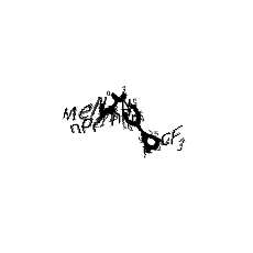 C=C(C(=C)N1CCC(c2cc(F)cc(C(F)(F)F)c2)CC1)/C(CCC)=C(/CCC)NC